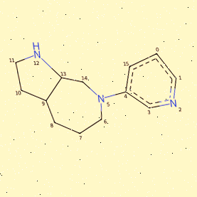 c1cncc(N2CCCC3CCNC3C2)c1